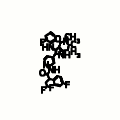 CC1Cc2[nH]c(-c3ccnc(NC(=O)C(CC(F)F)c4ccc(F)cc4)c3)c(Nc3ccccc3F)c2C(=O)N1C